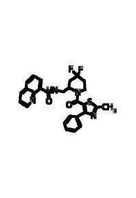 Cc1nc(-c2ccccc2)c(C(=O)N2CCC(F)(F)CC2CNC(=O)c2cccc3cccnc23)s1